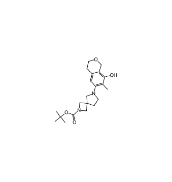 Cc1c(N2CCC3(CN(C(=O)OC(C)(C)C)C3)C2)cc2c(c1O)COCC2